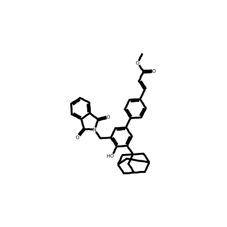 COC(=O)/C=C/c1ccc(-c2cc(CN3C(=O)c4ccccc4C3=O)c(O)c(C34CC5CC(CC(C5)C3)C4)c2)cc1